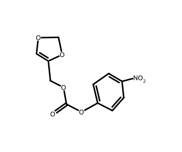 O=C(OCC1=COCO1)Oc1ccc([N+](=O)[O-])cc1